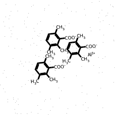 Cc1ccc(C)c(C(=O)[O-])c1C.Cc1ccc(C)c(C(=O)[O-])c1C.Cc1ccc(C)c(C(=O)[O-])c1C.[Al+3]